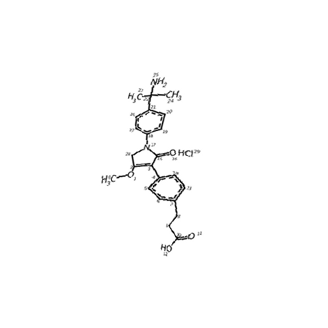 COC1=C(c2ccc(CCC(=O)O)cc2)C(=O)N(c2ccc(C(C)(C)N)cc2)C1.Cl